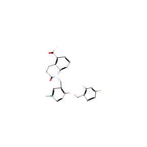 O=C(O)c1cccc2c1CCC(=O)N2Cc1cc(Cl)ccc1OCc1ccc(Cl)cc1F